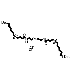 CCCCCCCCCCCCCCCC[N+](C)(C)CCCC(=O)NCCSSCCNC(=O)CCC[N+](C)(C)CCCCCCCCCCCCCCCC.[Cl-].[Cl-]